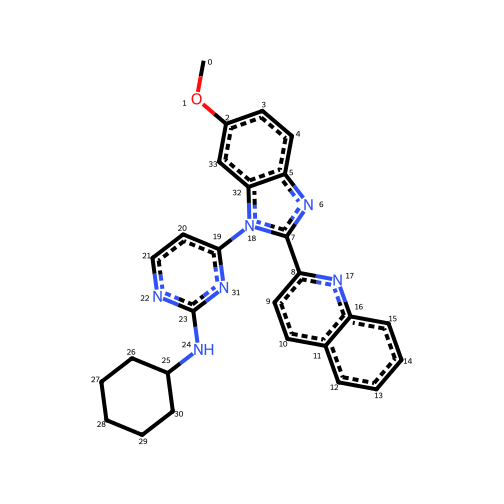 COc1ccc2nc(-c3ccc4ccccc4n3)n(-c3ccnc(NC4CCCCC4)n3)c2c1